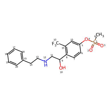 CS(=O)(=O)Oc1ccc(C(O)CNCCc2ccccc2)c(C(F)(F)F)c1